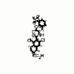 COC(=O)[C@H](Cc1cccc(S(C)(=O)=O)c1)NC(=O)c1c(Cl)cc2c(c1Cl)CCN(C(=O)O)C2